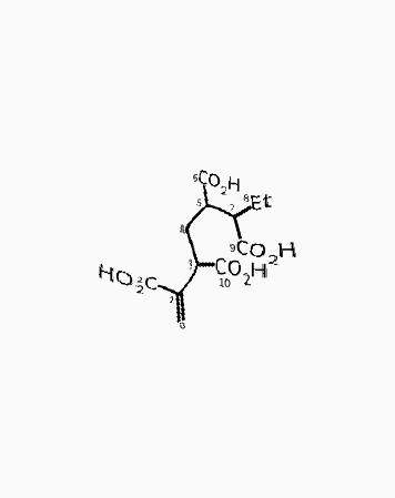 C=C(C(=O)O)C(CC(C(=O)O)C(CC)C(=O)O)C(=O)O